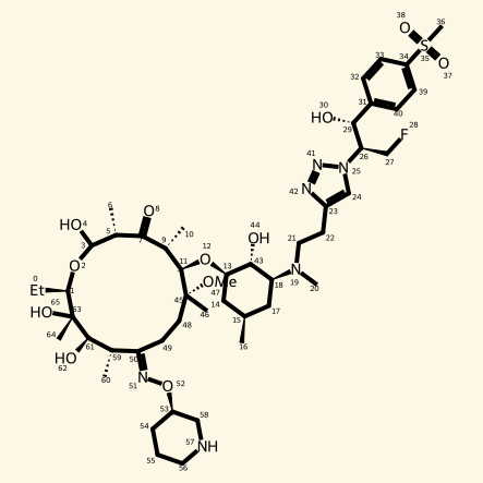 CC[C@H]1OC(O)[C@H](C)C(=O)[C@H](C)[C@@H](O[C@@H]2C[C@H](C)C[C@H](N(C)CCc3cn([C@H](CF)[C@H](O)c4ccc(S(C)(=O)=O)cc4)nn3)[C@H]2O)[C@](C)(OC)CC/C(=N\O[C@@H]2CCCNC2)[C@H](C)[C@@H](O)[C@]1(C)O